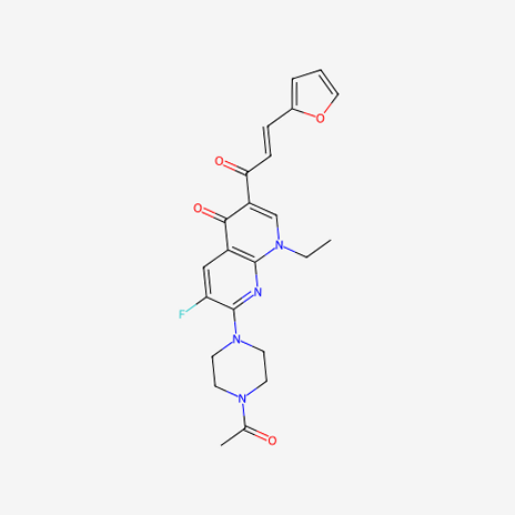 CCn1cc(C(=O)C=Cc2ccco2)c(=O)c2cc(F)c(N3CCN(C(C)=O)CC3)nc21